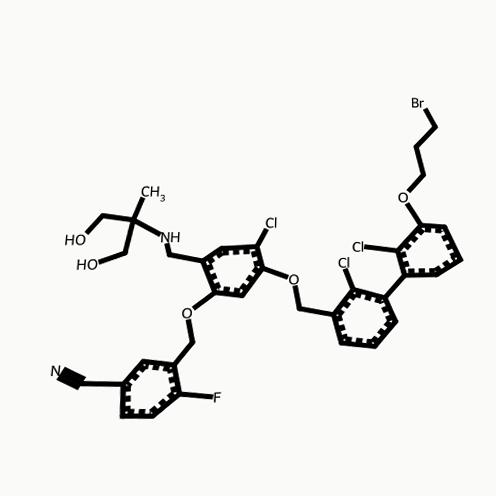 CC(CO)(CO)NCc1cc(Cl)c(OCc2cccc(-c3cccc(OCCCBr)c3Cl)c2Cl)cc1OCc1cc(C#N)ccc1F